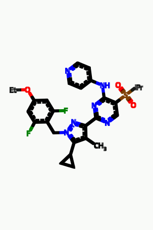 CCOc1cc(F)c(Cn2nc(-c3ncc(S(=O)(=O)C(C)C)c(Nc4ccncc4)n3)c(C)c2C2CC2)c(F)c1